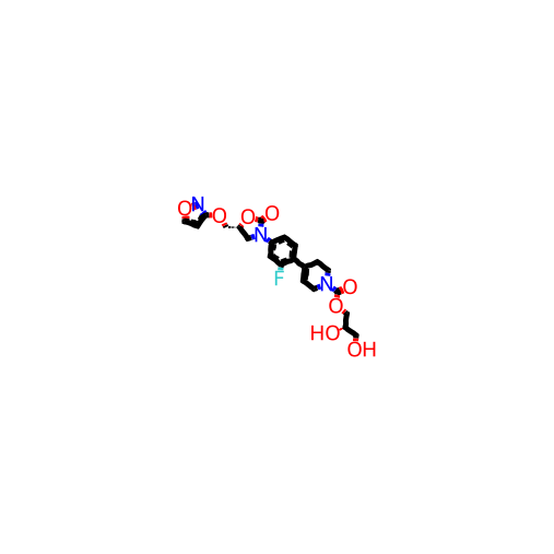 O=C(OC[C@@H](O)CO)N1CC=C(c2ccc(N3C[C@H](COc4ccon4)OC3=O)cc2F)CC1